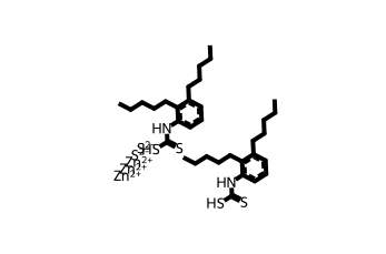 CCCCCc1cccc(NC(=S)S)c1CCCCC.CCCCCc1cccc(NC(=S)S)c1CCCCC.[S-2].[S-2].[Zn+2].[Zn+2].[Zn+2]